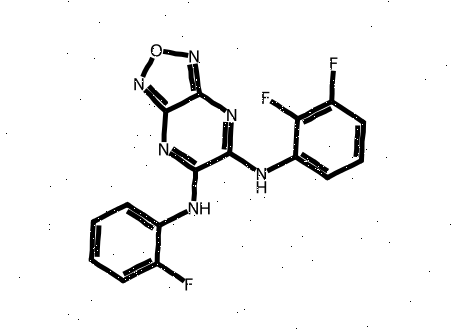 Fc1ccccc1Nc1nc2nonc2nc1Nc1cccc(F)c1F